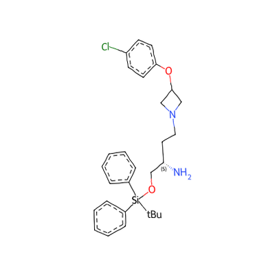 CC(C)(C)[Si](OC[C@@H](N)CCN1CC(Oc2ccc(Cl)cc2)C1)(c1ccccc1)c1ccccc1